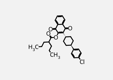 CCCC(CCC)C(=O)OC1=C([C@H]2CC[C@H](c3ccc(Cl)cc3)CC2)C(=O)c2ccccc2C1=O